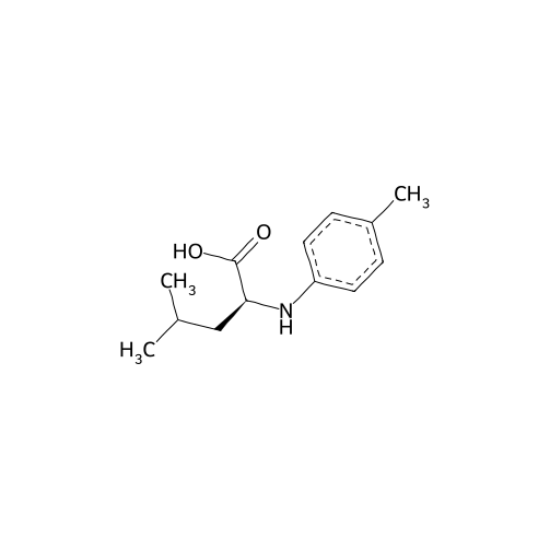 Cc1ccc(N[C@@H](CC(C)C)C(=O)O)cc1